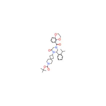 CC(C)c1ccccc1C1CN(C(=O)c2cccc3c2OCCO3)CC(=O)N1C1CC2(CCN(C(=O)OC(C)(C)C)CC2)C1